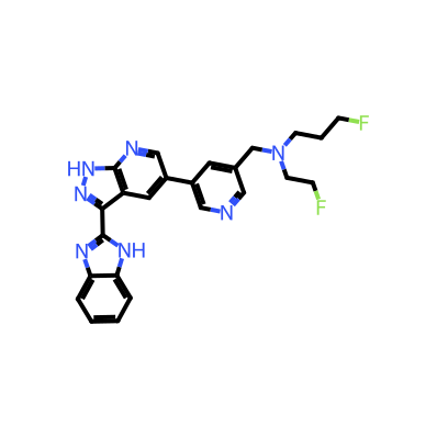 FCCCN(CCF)Cc1cncc(-c2cnc3[nH]nc(-c4nc5ccccc5[nH]4)c3c2)c1